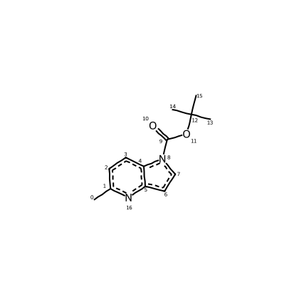 Cc1ccc2c(ccn2C(=O)OC(C)(C)C)n1